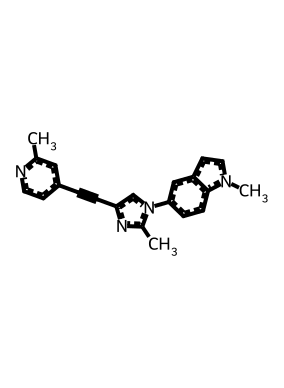 Cc1cc(C#Cc2cn(-c3ccc4c(ccn4C)c3)c(C)n2)ccn1